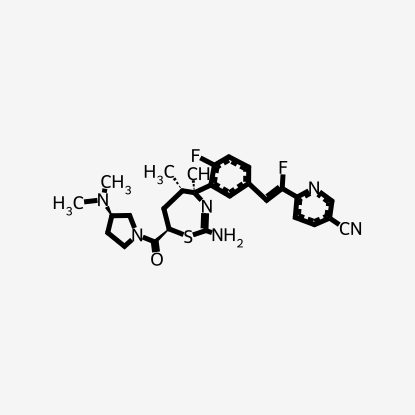 C[C@H]1C[C@H](C(=O)N2CC[C@@H](N(C)C)C2)SC(N)=N[C@]1(C)c1cc(/C=C(\F)c2ccc(C#N)cn2)ccc1F